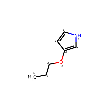 CCCOc1[c][nH]cc1